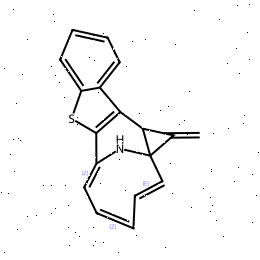 C=C1C2c3c(sc4ccccc34)/C3=C/C=C\C=C\C12N3